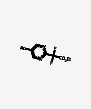 CCOC(=O)C(F)(F)c1ncc(C(C)=O)cn1